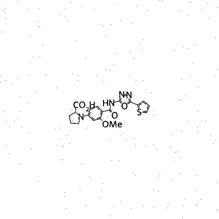 COc1cc(N2CCCC2C(=O)O)ccc1C(=O)Nc1nnc(-c2cccs2)o1